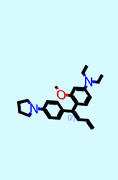 C=C/C=C(/c1ccc(N2CCCC2)cc1)c1ccc(N(CC)CC)cc1OC